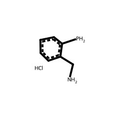 Cl.NCc1ccccc1P